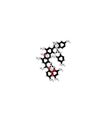 Cc1ccc(OP(Oc2ccc(C)cc2C)Oc2c(C(C)C)cc(C)c(C)c2Cc2c(C)c(C)cc(C(C)C)c2OP(Oc2ccc(C)cc2C)Oc2ccc(C)cc2C)c(C)c1